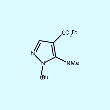 CCOC(=O)c1cnn(C(C)(C)C)c1NC